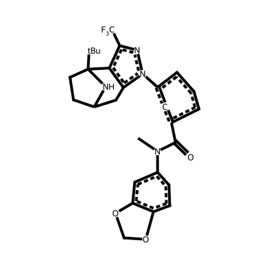 CN(C(=O)c1cccc(-n2nc(C(F)(F)F)c3c2CC2CCC3(C(C)(C)C)N2)c1)c1ccc2c(c1)OCO2